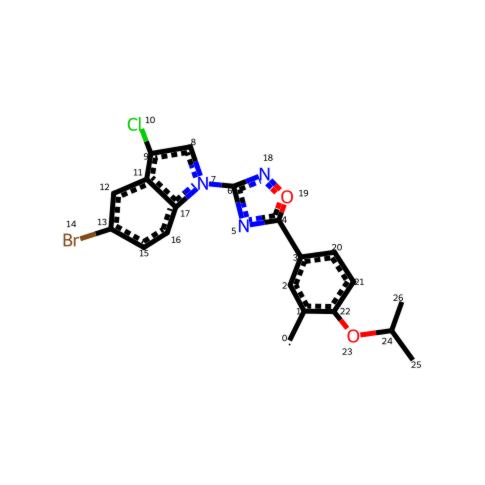 [CH2]c1cc(-c2nc(-n3cc(Cl)c4cc(Br)ccc43)no2)ccc1OC(C)C